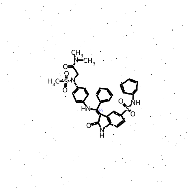 CN(C)C(=O)CN(c1ccc(N/C(=C2\C(=O)Nc3ccc(S(=O)(=O)Nc4ccccc4)cc32)c2ccccc2)cc1)S(C)(=O)=O